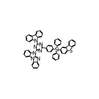 c1ccc([Si](c2ccccc2)(c2ccc(-c3nc(-n4c5ccccc5c5ccccc54)nc(-n4c5ccccc5n5c6ccccc6nc45)n3)cc2)c2ccc3sc4ccccc4c3c2)cc1